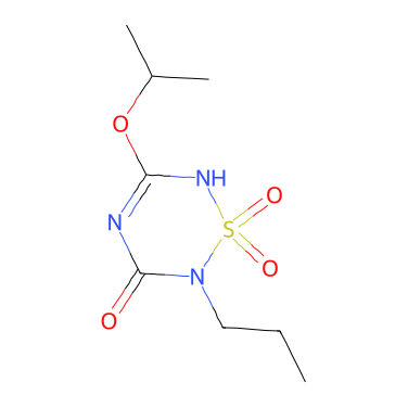 CCCN1C(=O)N=C(OC(C)C)NS1(=O)=O